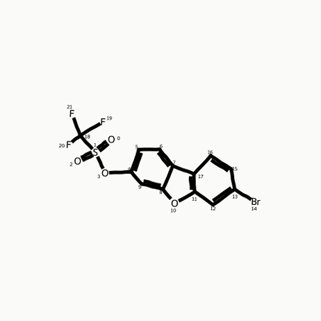 O=S(=O)(Oc1ccc2c(c1)oc1cc(Br)ccc12)C(F)(F)F